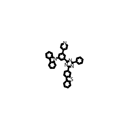 c1ccc(-c2nc(-c3cc(-c4ccncc4)cc(-n4c5ccccc5c5ccccc54)c3)nc(-c3ccc4c(c3)sc3ccccc34)n2)cc1